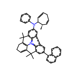 C[C@@H]1C=CCC=CC1N(c1ccccc1)c1cc2c3c(c1)c1cc(-c4cccc5ccccc45)cc4c1n3C1=C(CCC=C1C4(C)C)C2(C)C